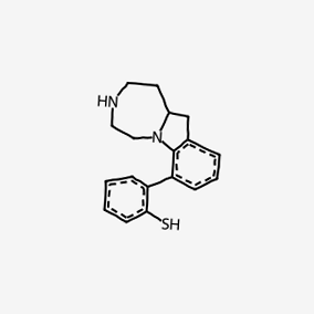 Sc1ccccc1-c1cccc2c1N1CCNCCC1C2